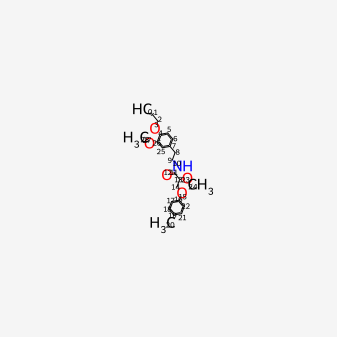 C#CCOc1ccc(CCNC(=O)C(COc2ccc(C)cc2)OC)cc1OC